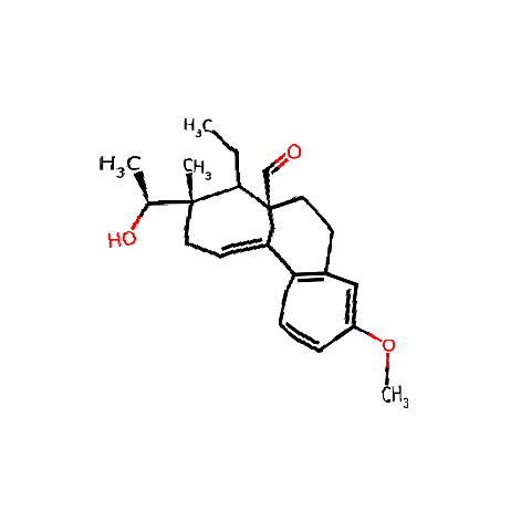 CCC1[C@@](C)([C@H](C)O)CC=C2c3ccc(OC)cc3CC[C@]21C=O